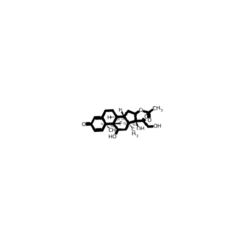 CC(=O)OC1C[C@H]2[C@@H]3CCC4=CC(=O)C=C[C@]4(C)[C@@]3(F)C(O)C[C@]2(C)[C@@]1(O)C(=O)CO